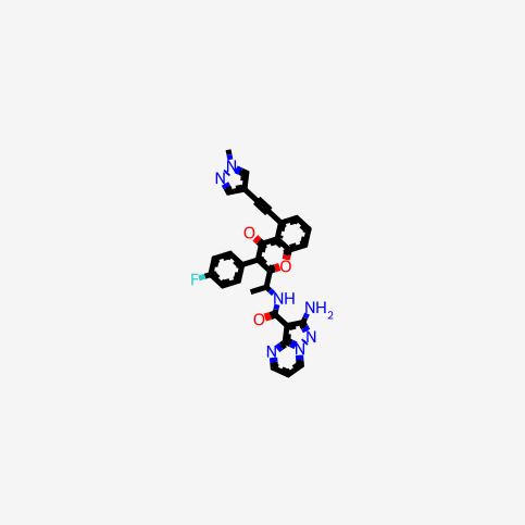 CC(NC(=O)c1c(N)nn2cccnc12)c1oc2cccc(C#Cc3cnn(C)c3)c2c(=O)c1-c1ccc(F)cc1